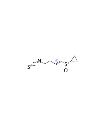 [O-][S+](/C=C/CCN=C=S)C1CC1